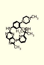 Cc1cc(Nc2ncc3nc(C)n(-c4cccc(C(C)(C)O)n4)c3n2)ccc1N1CCN(C)CC1